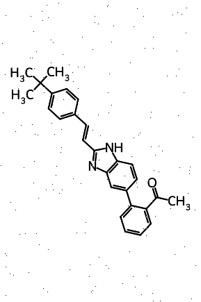 CC(=O)c1ccccc1-c1ccc2[nH]c(/C=C/c3ccc(C(C)(C)C)cc3)nc2c1